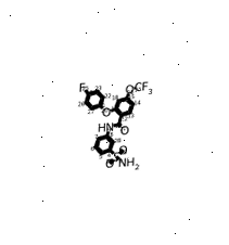 NS(=O)(=O)c1cccc(NC(=O)c2ccc(OC(F)(F)F)cc2Oc2ccc(F)cc2)c1